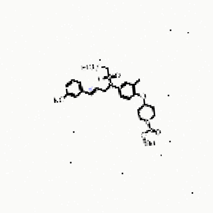 CCOC(=O)CS(=O)(=O)N(C/C=C/c1cccc(C#N)c1)c1ccc(OC2CCN(C(=O)OC(C)(C)C)CC2)c(C)c1